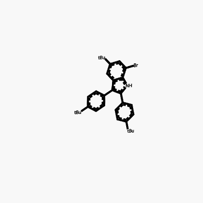 CC(C)(C)c1ccc(-c2[nH]c3c(Br)cc(C(C)(C)C)cc3c2-c2ccc(C(C)(C)C)cc2)cc1